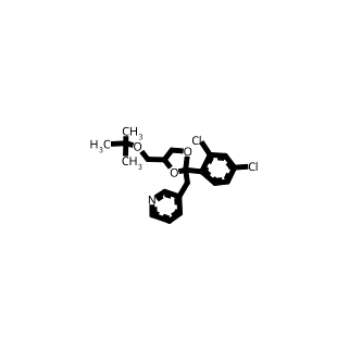 CC(C)(C)OCC1COC(Cc2cccnc2)(c2ccc(Cl)cc2Cl)O1